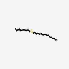 CCCCCCCCCCCCCCCCSCCCCCCCC